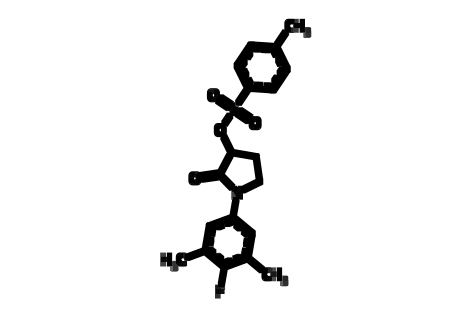 Cc1ccc(S(=O)(=O)OC2CCN(c3cc(C)c(F)c(C)c3)C2=O)cc1